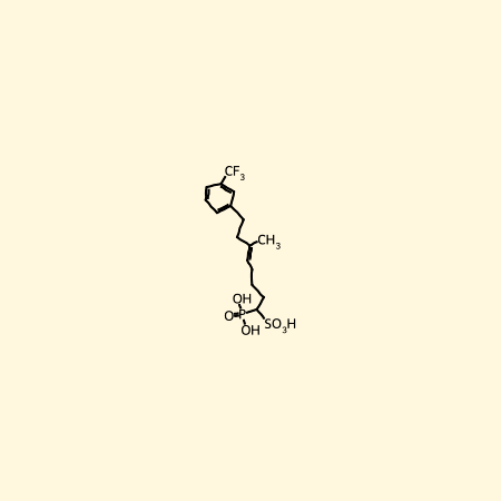 C/C(=C\CCCC(P(=O)(O)O)S(=O)(=O)O)CCc1cccc(C(F)(F)F)c1